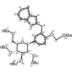 CCCCOC[C@H]1O[C@@H](c2ccc(OCOC)c(Cc3cc4ccccc4s3)c2)[C@H](OCCCC)[C@@H](OCCCC)[C@@H]1OCCCC